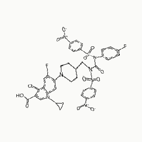 O=C(O)c1cn(C2CC2)c2cc(N3CCC(CN(C(=O)N(c4ccc(F)cc4)S(=O)(=O)c4ccc([N+](=O)[O-])cc4)S(=O)(=O)c4ccc([N+](=O)[O-])cc4)CC3)c(F)cc2c1=O